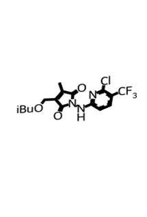 CC1=C(COCC(C)C)C(=O)N(Nc2ccc(C(F)(F)F)c(Cl)n2)C1=O